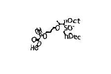 CCCCCCCCCCC[S+]([O-])C(CCCCCCCC)C(C)OCCCO[PH](=O)C(=O)OO